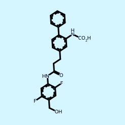 O=C(O)Nc1cc(CCC(=O)Nc2cc(F)c(CO)cc2F)ccc1-c1ccccc1